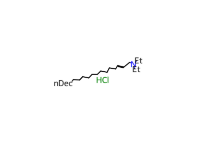 CCCCCCCCCCCCCCCCCCCCC=CCN(CC)CC.Cl